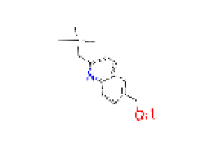 CC(C)(C)Cc1ccc2cc(CO)ccc2n1